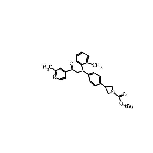 Cc1cc(C(=O)C[C@H](c2ccc(C3CN(C(=O)OC(C)(C)C)C3)cc2)c2ccccc2C)ccn1